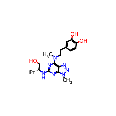 CC(C)[C@H](CO)Nc1nc(N(C)CCc2ccc(O)c(O)c2)c2nnn(C)c2n1